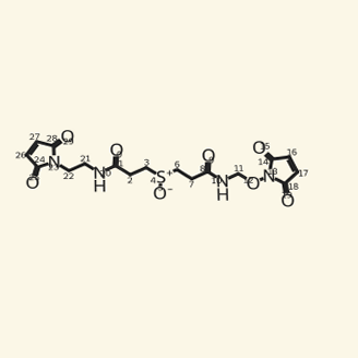 O=C(CC[S+]([O-])CCC(=O)NCON1C(=O)C=CC1=O)NCCN1C(=O)C=CC1=O